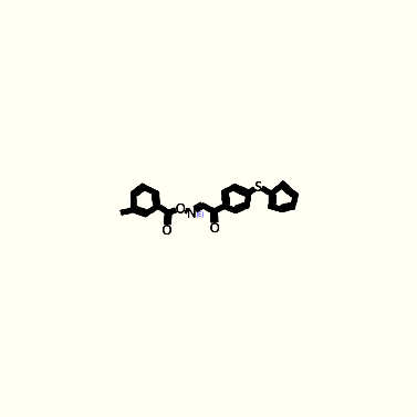 Cc1cccc(C(=O)O/N=C/C(=O)c2ccc(Sc3ccccc3)cc2)c1